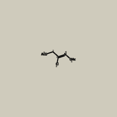 CC(=O)OCC(Cl)=NOC(C)=O